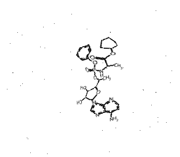 CC(NP(=O)(Oc1ccccc1)OC(C)[C@H]1O[C@@H](n2cnc3c(N)ccnc32)C(O)C1O)C(=O)OC1CCCCC1